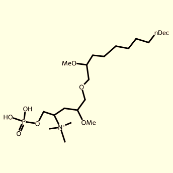 CCCCCCCCCCCCCCCCC(COCC(CC(COP(=O)(O)O)[N+](C)(C)C)OC)OC